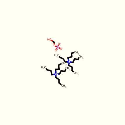 CCCC[N+](CCCC)(CCCC)CCCC.CCCC[N+](CCCC)(CCCC)CCCC.O=P([O-])([O-])OCO